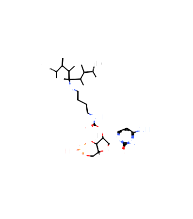 B[PH]1(O)OC[C@H]2O[C@@H](n3ccc(N)nc3=O)C(OC(=O)NCCCCNC(C)(C(C)C(C)C(C)C(C)CC)C(C)C(C)C(C)C(C)CC)[C@@H]2O1